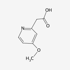 COc1ccnc(CC(=O)O)c1